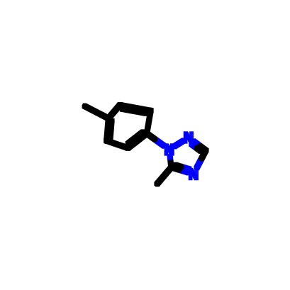 Cc1ccc(-n2ncnc2C)cc1